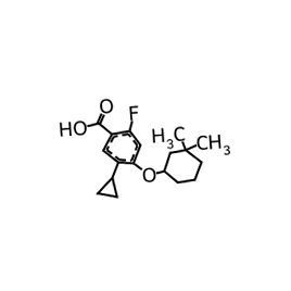 CC1(C)CCCC(Oc2cc(F)c(C(=O)O)cc2C2CC2)C1